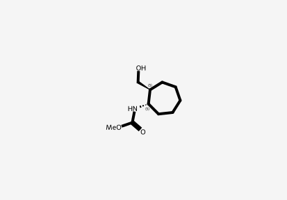 COC(=O)N[C@H]1CCCCC[C@@H]1CO